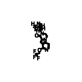 [2H]C([2H])(N)C([2H])([2H])N1CCn2c(cc3c(OCC(F)(F)F)nccc32)C1=O